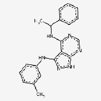 Cc1cccc(Nc2n[nH]c3ncnc(NC(C)c4ccccc4)c23)c1